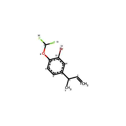 C=C[C](C)c1ccc(OC(F)F)c(Br)c1